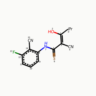 CC(C)C(O)=C(C#N)C(=S)Nc1cccc(F)c1C#N